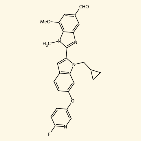 COc1cc(C=O)cc2nc(-c3cc4ccc(Oc5ccc(F)nc5)cc4n3CC3CC3)n(C)c12